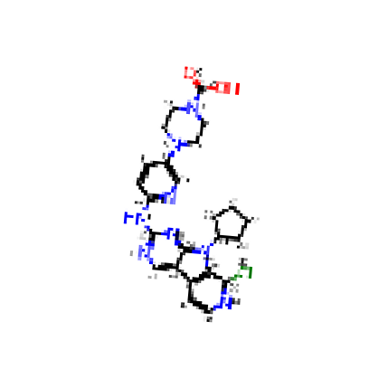 O=C(O)N1CCN(c2ccc(Nc3ncc4c5ccnc(Cl)c5n(C5CCCC5)c4n3)nc2)CC1